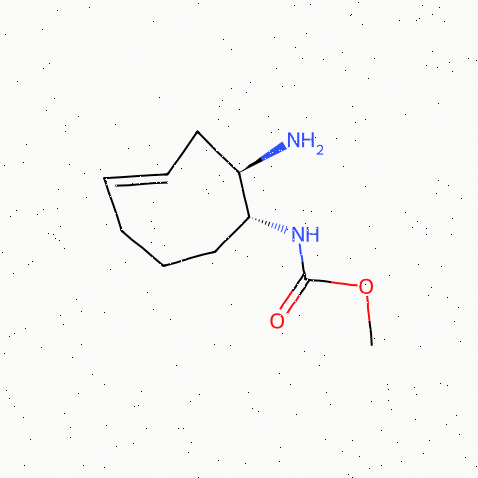 COC(=O)N[C@@H]1CCC/C=C/C[C@H]1N